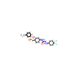 O=C(CNC1CCC(F)(F)CC1)NC1CCC(CS(=O)(=O)c2cccc(C(F)(F)F)c2)CC1